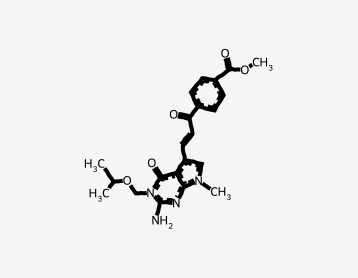 COC(=O)c1ccc(C(=O)C=Cc2cn(C)c3nc(N)n(COC(C)C)c(=O)c23)cc1